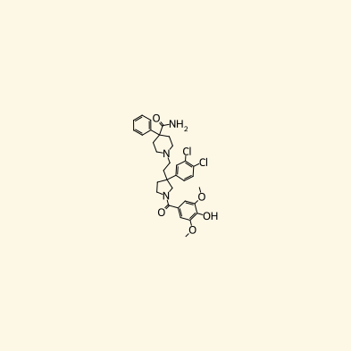 COc1cc(C(=O)N2CCC(CCN3CCC(C(N)=O)(c4ccccc4)CC3)(c3ccc(Cl)c(Cl)c3)C2)cc(OC)c1O